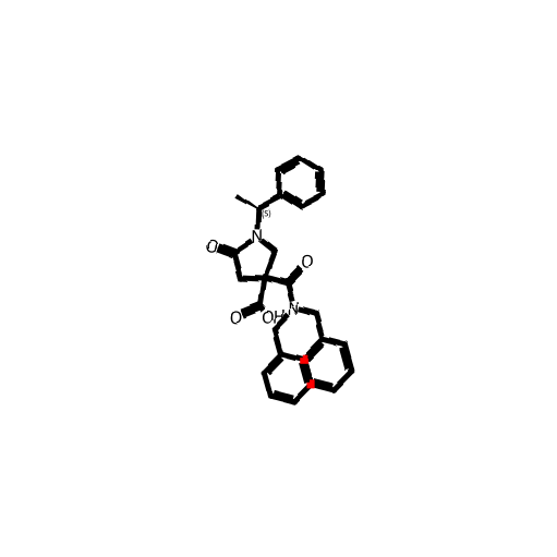 C[C@@H](c1ccccc1)N1CC(C(=O)O)(C(=O)N(Cc2ccccc2)Cc2ccccc2)CC1=O